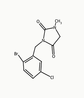 CN1CC(=O)N(Cc2cc(Cl)ccc2Br)C1=O